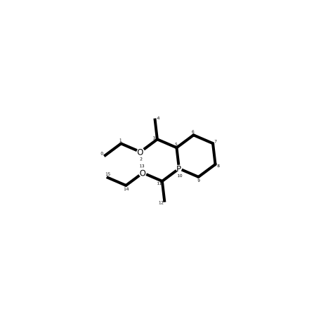 CCOC(C)C1CCCCP1C(C)OCC